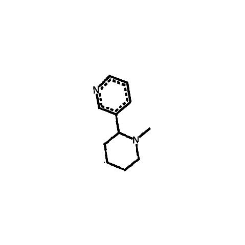 CN1CC[CH]CC1c1cccnc1